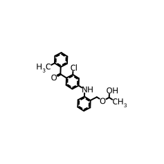 Cc1ccccc1C(=O)c1ccc(Nc2ccccc2COC(C)O)cc1Cl